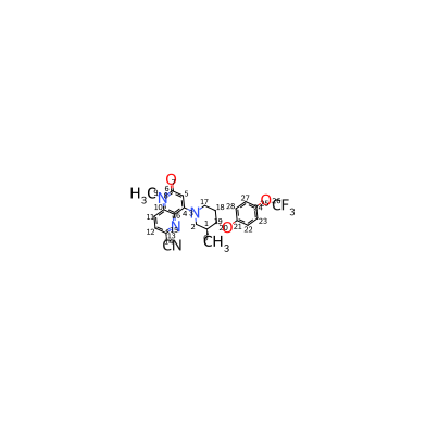 C[C@H]1CN(c2cc(=O)n(C)c3ccc(C#N)nc23)CC[C@@H]1Oc1ccc(OC(F)(F)F)cc1